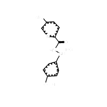 CCCCc1ccc(C(=O)NNc2ccc(C(=O)O)cc2)nc1.Cl